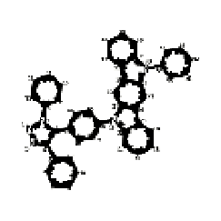 c1ccc(-c2nnn(-c3ccccc3)c2-c2ccc(-n3c4ccccc4c4cc5c(cc43)c3ccccc3n5-c3ccccc3)cc2)cc1